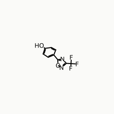 Oc1ccc(-c2nc(C(F)(F)F)no2)cc1